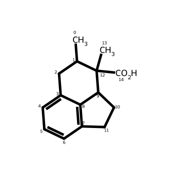 CC1Cc2cccc3c2C(CC3)C1(C)C(=O)O